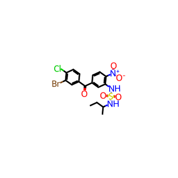 CCC(C)NS(=O)(=O)Nc1cc(C(=O)c2ccc(Cl)c(Br)c2)ccc1[N+](=O)[O-]